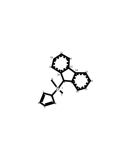 [CH3][Zr]([CH3])([CH]1C=CC=C1)[CH]1c2ccccc2-c2ccccc21